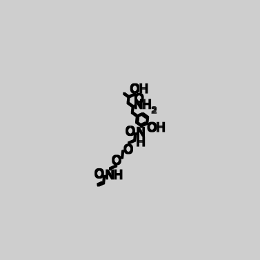 C=CC(=O)NCCOCCOCCC(=O)Nc1cc(C[C@H](N)CC(C)C(=O)O)ccc1O